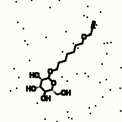 C#CCOCCCCCCCO[C@H]1O[C@H](CO)[C@@H](O)[C@H](O)[C@@H]1O